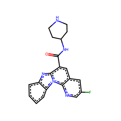 O=C(NC1CCNCC1)c1cc2cc(F)cnc2n2c1nc1ccccc12